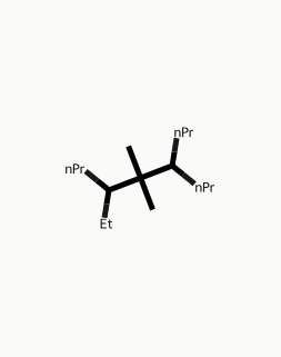 CCCC(CC)C(C)(C)C(CCC)CCC